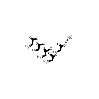 NCC(=O)[O-].NCC(=O)[O-].NCC(=O)[O-].NCC(=O)[O-].NCC(=O)[O-].[Al+3].[O]=[Zr+2]